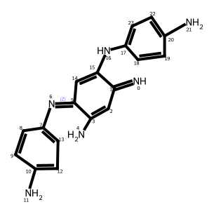 N=C1C=C(N)/C(=N\c2ccc(N)cc2)C=C1Nc1ccc(N)cc1